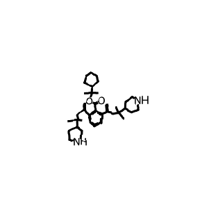 C=C(CC(C)(C)C1CCNCC1)c1cccc(C(=C)CC(C)(C)C2CCNCC2)c1C(=O)OC(C)(C)C1CCCCC1